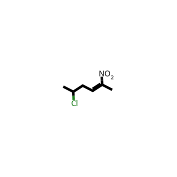 C/C(=C/CC(C)Cl)[N+](=O)[O-]